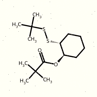 CC(C)(C)SS[C@@H]1CCCC[C@H]1OC(=O)C(C)(C)C